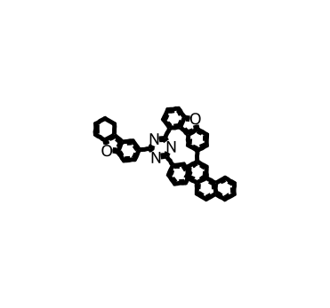 C1=Cc2oc3ccc(-c4nc(-c5ccccc5)nc(-c5cccc6oc7ccc(-c8ccc9ccc%10ccccc%10c9c8)cc7c56)n4)cc3c2CC1